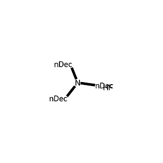 CCCCCCCCCCN(CCCCCCCCCC)CCCCCCCCCC.F